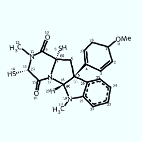 COC1C=CC([C@]23C[C@]4(S)C(=O)N(C)[C@@H](S)C(=O)N4[C@H]2N(C)c2ccccc23)=CC1